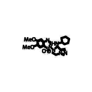 COc1cc2c(cc1OC)S(=O)(=O)N(N1CCn3cncc3C1NC1CCCCC1)C=N2